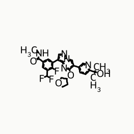 CNC(=O)c1cc(-c2cnn3cc(-c4ccc(C(C)(C)O)nc4)c(O[C@H]4CCOC4)nc23)c(F)c(C(F)F)c1